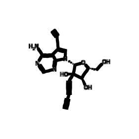 C#CC#C[C@@]1(O)[C@H](O)[C@@H](CO)O[C@H]1n1cc(C#C)c2c(N)ncnc21